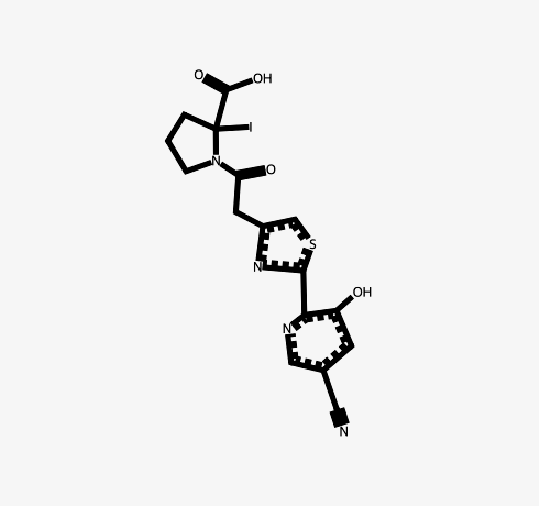 N#Cc1cnc(-c2nc(CC(=O)N3CCCC3(I)C(=O)O)cs2)c(O)c1